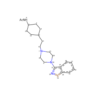 CC(=O)NC1CCC(CCN2CCN(c3nsc4ccccc34)CC2)CC1